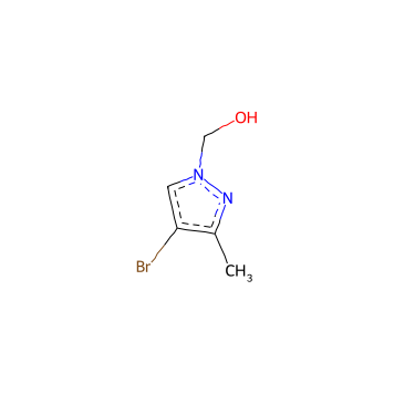 Cc1nn(CO)cc1Br